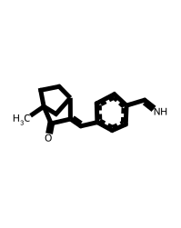 CC12CCC(C1)/C(=C\c1ccc(C=N)cc1)C2=O